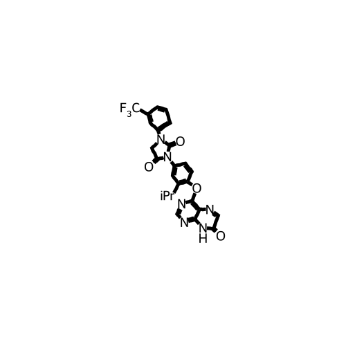 CC(C)c1cc(N2C(=O)CN(c3cccc(C(F)(F)F)c3)C2=O)ccc1Oc1ncnc2[nH]c(=O)cnc12